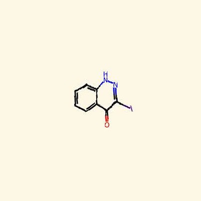 O=c1c(I)n[nH]c2ccccc12